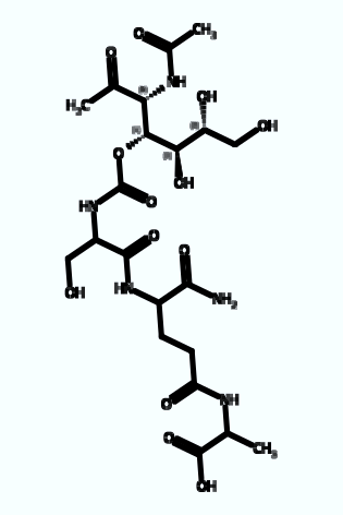 CC(=O)N[C@@H](C(C)=O)[C@@H](OC(=O)NC(CO)C(=O)NC(CCC(=O)NC(C)C(=O)O)C(N)=O)[C@H](O)[C@H](O)CO